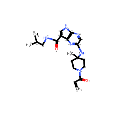 C=CC(=O)N1CCC(C)(Nc2cnc3[nH]cc(C(=O)NCC(C)C)c3n2)CC1